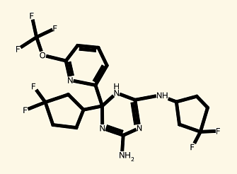 NC1=NC(c2cccc(OC(F)(F)F)n2)(C2CCC(F)(F)C2)NC(NC2CCC(F)(F)C2)=N1